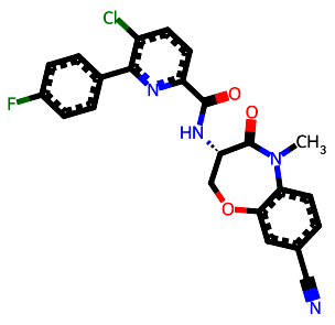 CN1C(=O)[C@@H](NC(=O)c2ccc(Cl)c(-c3ccc(F)cc3)n2)COc2cc(C#N)ccc21